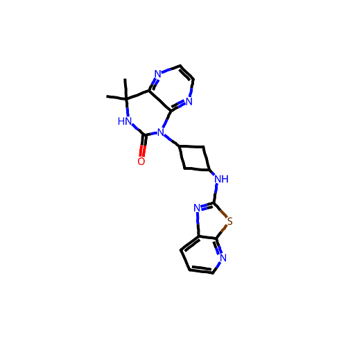 CC1(C)NC(=O)N(C2CC(Nc3nc4cccnc4s3)C2)c2nccnc21